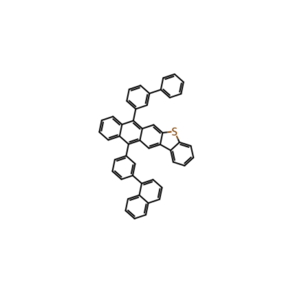 c1ccc(-c2cccc(-c3c4ccccc4c(-c4cccc(-c5cccc6ccccc56)c4)c4cc5c(cc34)sc3ccccc35)c2)cc1